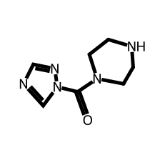 O=C(N1CCNCC1)n1cncn1